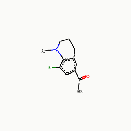 CCCCC(=O)c1cc(Br)c2c(c1)CCCN2C(C)=O